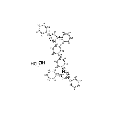 Cl.Cl.c1ccc(-n2c[n+](-c3ccccc3)[n+](-c3ccc(-c4ccc(-n5n[n+](-c6ccccc6)c[n+]5-c5ccccc5)cc4)cc3)n2)cc1